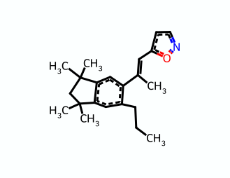 CCCc1cc2c(cc1/C(C)=C/c1ccno1)C(C)(C)CC2(C)C